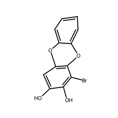 Oc1cc2c(c(Br)c1O)Oc1ccccc1O2